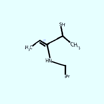 C/C=C(\NCC(C)C)C(C)S